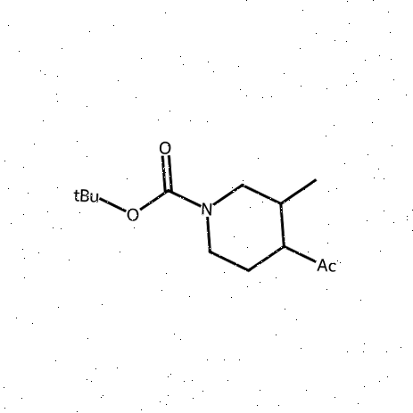 CC(=O)C1CCN(C(=O)OC(C)(C)C)CC1C